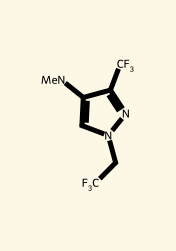 CNc1cn(CC(F)(F)F)nc1C(F)(F)F